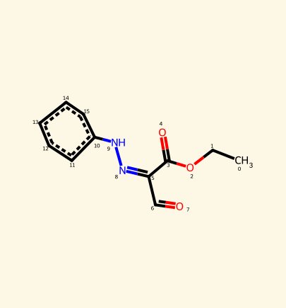 CCOC(=O)C(C=O)=NNc1ccccc1